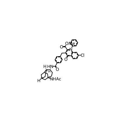 COC(=O)c1c(Cc2ccc(C(=O)N[C@@H]3CC[C@@]4(NC(C)=O)CC5C[C@H](C[C@@H]53)C4)cc2)c(=O)c2ccc(Cl)cc2n1-c1ccccc1